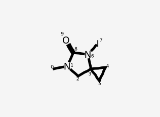 CN1CC2(CC2)N(I)C1=O